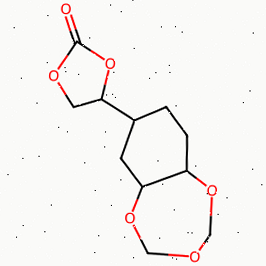 O=C1OCC(C2CCC3OCOCOC3C2)O1